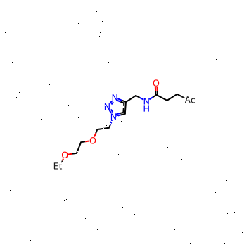 CCOCCOCCn1cc(CNC(=O)CCC(C)=O)nn1